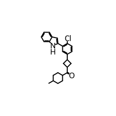 CC1CCC(C(=O)C2CC(c3ccc(Cl)c(-c4cc5ccccc5[nH]4)c3)C2)CC1